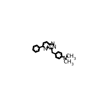 CN(C)c1ccc(Cc2nnc3ccc(-c4ccccc4)nn23)cc1